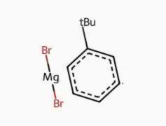 CC(C)(C)c1c[c]ccc1.[Br][Mg][Br]